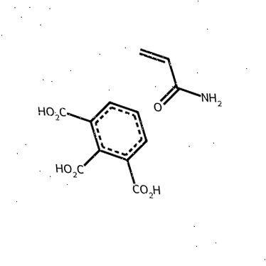 C=CC(N)=O.O=C(O)c1cccc(C(=O)O)c1C(=O)O